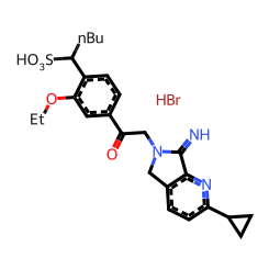 Br.CCCCC(c1ccc(C(=O)CN2Cc3ccc(C4CC4)nc3C2=N)cc1OCC)S(=O)(=O)O